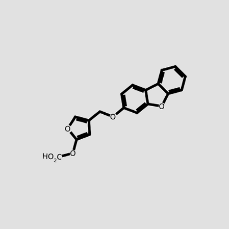 O=C(O)Oc1cc(COc2ccc3c(c2)oc2ccccc23)co1